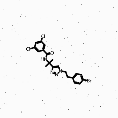 CC(C)(NC(=O)c1cc(Cl)cc(Cl)c1)c1cn(CCc2ccc(Br)cc2)nn1